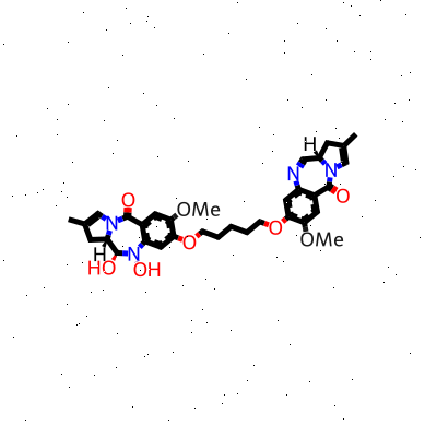 COc1cc2c(cc1OCCCCCOc1cc3c(cc1OC)C(=O)N1C=C(C)C[C@H]1[C@H](O)N3O)N=C[C@@H]1CC(C)=CN1C2=O